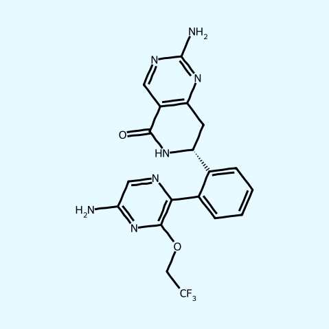 Nc1cnc(-c2ccccc2[C@H]2Cc3nc(N)ncc3C(=O)N2)c(OCC(F)(F)F)n1